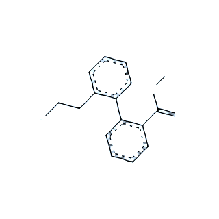 CC(C)(C)OC(=O)c1ccccc1-c1ccccc1CCBr